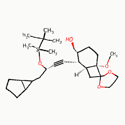 CO[C@@]12CC[C@H](O)[C@@H](C#C[C@H](CC3C4CCCC43)O[Si](C)(C)C(C)(C)C)[C@@H]1CC21OCCO1